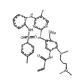 C=CC(=O)Nc1cc(Nc2ncc(C)c(Nc3ccccc3NS(=O)(=O)c3ccc(C)cc3)n2)c(OC)cc1N(C)CCN(C)C